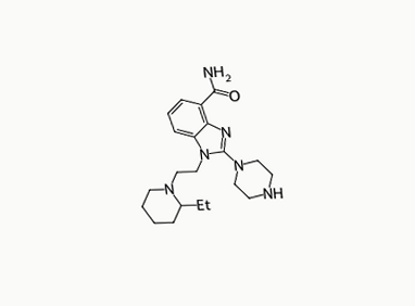 CCC1CCCCN1CCn1c(N2CCNCC2)nc2c(C(N)=O)cccc21